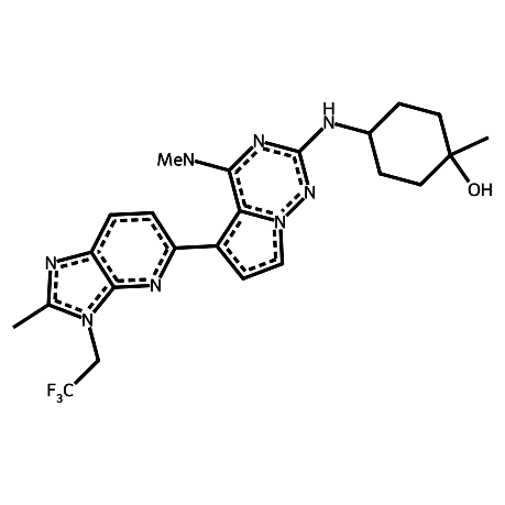 CNc1nc(NC2CCC(C)(O)CC2)nn2ccc(-c3ccc4nc(C)n(CC(F)(F)F)c4n3)c12